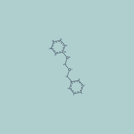 [C](OCc1ccccc1)Oc1ccccc1